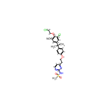 CC(C)(c1ccc(OCCc2ccnc(NS(C)(=O)=O)n2)cc1)c1cc(Cl)c(OCCCl)c(C#N)c1